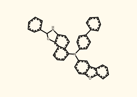 c1ccc(-c2ccc(N(c3ccc4oc5ccccc5c4c3)c3cccc4c5c(ccc34)NC(c3ccccc3)O5)cc2)cc1